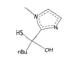 CCCCC(O)(S)c1nccn1C